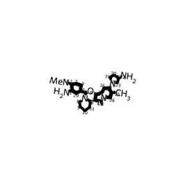 CNc1ccc(C(=O)N2CCCC[C@H]2c2cc3cc(N4CC[C@H](N)C4)c(C)cn3n2)cc1N